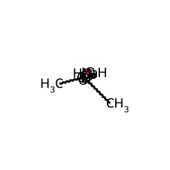 CCCCCCCCCCCCCCCCCCOS(=O)(=O)OCCCCCCCCCCCC.O=S(=O)(O)c1ccccc1.[NaH]